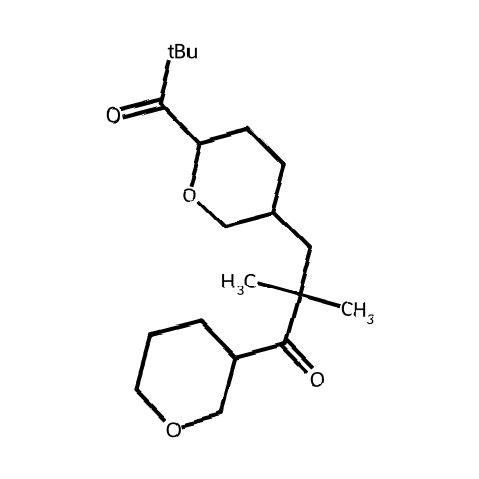 CC(C)(C)C(=O)C1CCC(CC(C)(C)C(=O)C2CCCOC2)CO1